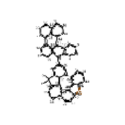 CC1(C)c2cc(-c3c4ccccc4c(-c4cccc5ccccc45)c4ccccc34)ccc2-c2c1ccc1ccc3sc4ccccc4c3c21